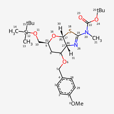 COc1ccc(COC2C[C@@H](CO[Si](C)(C)C(C)(C)C)O[C@@H]3SC(N(C)C(=O)OC(C)(C)C)=N[C@H]23)cc1